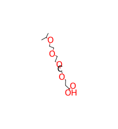 CC(C)OCCOCCOCCOCCC(=O)O